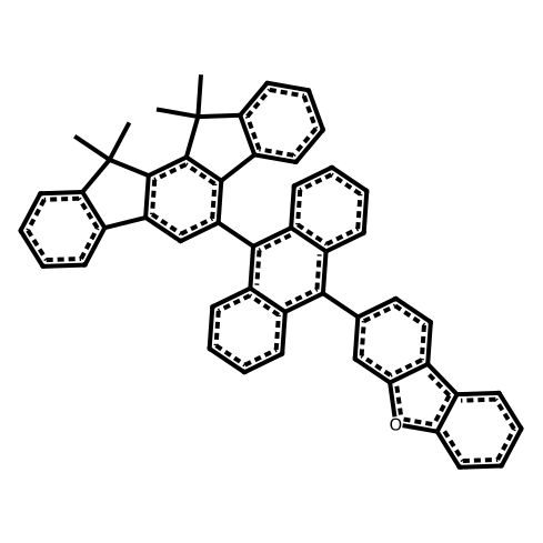 CC1(C)c2ccccc2-c2cc(-c3c4ccccc4c(-c4ccc5c(c4)oc4ccccc45)c4ccccc34)c3c(c21)C(C)(C)c1ccccc1-3